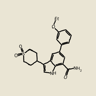 CCOc1cccc(-c2cc(C(N)=O)c3[nH]cc(C4CCS(=O)(=O)CC4)c3c2)c1